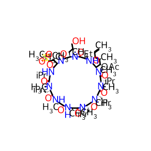 C/C=C/C[C@@H](C)[C@@H](OC(C)=O)[C@H]1C(=O)N[C@@H](CC)C(=O)N(C)[C@H](CCCO)C(=O)N(C)[C@@H]([C@H](C)CS(C)(=O)=O)C(=O)N[C@@H](C(C)C)C(=O)N(C)[C@@H](CC(C)C)C(=O)N[C@@H](C)C(=O)N[C@H](C)C(=O)N(C)[C@@H](CC(C)C)C(=O)N(C)[C@@H](CC(C)C)C(=O)N(C)[C@@H](C(C)C)C(=O)N1C